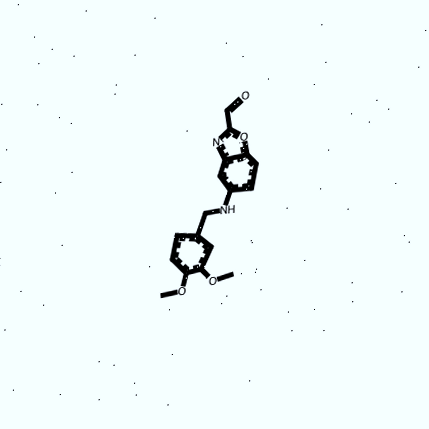 COc1ccc(CNc2ccc3oc(C=O)nc3c2)cc1OC